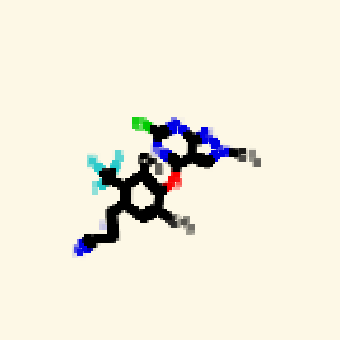 Cc1cc(/C=C/C#N)c(C(F)(F)F)c(C)c1Oc1nc(Cl)nc2nn(C)cc12